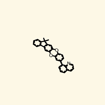 CC1(C)c2ccccc2-c2cc3c(cc21)Oc1ccc(-c2cccc4cccnc24)cc1O3